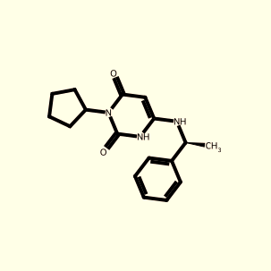 C[C@H](Nc1cc(=O)n(C2CCCC2)c(=O)[nH]1)c1ccccc1